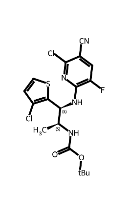 C[C@H](NC(=O)OC(C)(C)C)[C@H](Nc1nc(Cl)c(C#N)cc1F)c1sccc1Cl